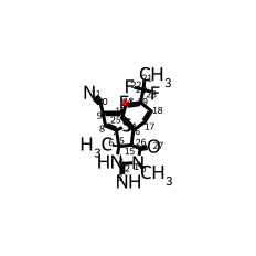 CN1C(=N)N[C@](C)(c2cc(C#N)c(F)s2)C(c2ccc(C(C)(F)F)cc2)C1=O